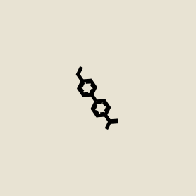 C=C(C)c1ccc(-c2ccc(CC)cc2)cc1